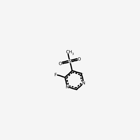 CS(=O)(=O)c1[c]ncnc1F